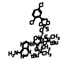 CC(C)(C)[Si](C)(C)O[C@@H]1[C@H](O[Si](C)(C)C(C)(C)C)[C@@H](COP2(=S)OC[C@H](c3cc(Cl)ccc3Cl)O2)O[C@H]1n1cnc2c(N)ncnc21